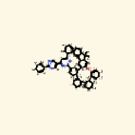 CC1(C)c2ccccc2-c2cc3c(cc21)Oc1ccccc1-c1ccccc1-c1ccccc1-c1ccc(-c2nc(-c4ccccc4)cc(-c4cnc(-c5ccccc5)nc4)n2)cc1-3